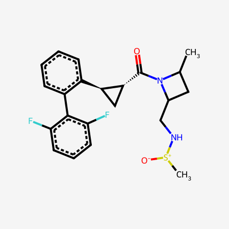 CC1CC(CN[S+](C)[O-])N1C(=O)[C@@H]1C[C@H]1c1ccccc1-c1c(F)cccc1F